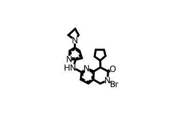 O=C1C(C2CCCC2)c2nc(Nc3ccc(N4CCC4)cn3)ccc2CN1Br